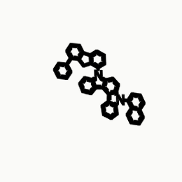 c1ccc(-c2cccc3c2Cc2c-3cccc2-n2c3ccccc3c3c4c5ccccc5n(-c5cccc6ccccc56)c4ccc32)cc1